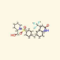 O=c1cc(C(F)(F)F)c2cc(Cc3ccc(S(=O)(=O)N4CCCCC4CO)cc3)ccc2[nH]1